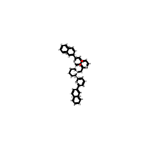 c1ccc(CN2[C@@H](c3cccc(-c4ccc5ccccc5c4)n3)CCC[C@@H]2c2cccc(-c3ccc4ccccc4c3)n2)nc1